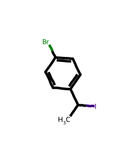 CC(I)c1ccc(Br)cc1